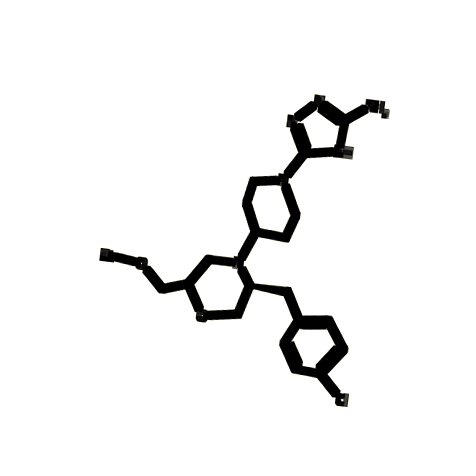 CCOCC1CN(C2CCN(c3nnc(N)[nH]3)CC2)[C@@H](Cc2ccc(Cl)cc2)CO1